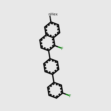 CCCCCCc1ccc2c(F)c(-c3ccc(-c4cccc(F)c4)cc3)ccc2c1